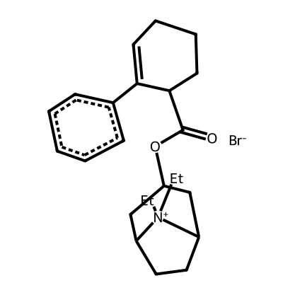 CC[N+]1(CC)C2CCC1CC(OC(=O)C1CCCC=C1c1ccccc1)C2.[Br-]